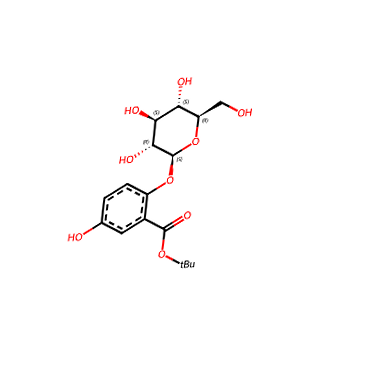 CC(C)(C)OC(=O)c1cc(O)ccc1O[C@@H]1O[C@H](CO)[C@@H](O)[C@H](O)[C@H]1O